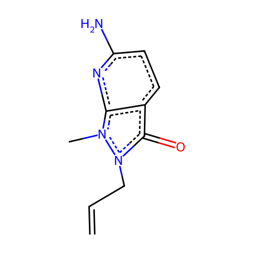 C=CCn1c(=O)c2ccc(N)nc2n1C